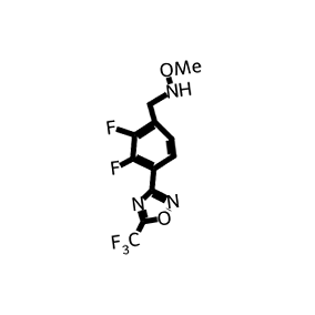 CONCc1ccc(-c2noc(C(F)(F)F)n2)c(F)c1F